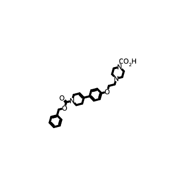 O=C(O)N1CCN(CCOc2ccc(C3=CCN(C(=O)OCc4ccccc4)CC3)cc2)CC1